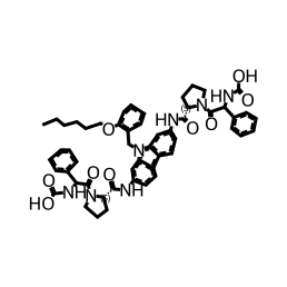 CCCCCCOc1ccccc1Cn1c2cc(NC(=O)[C@@H]3CCCN3C(=O)C(NC(=O)O)c3ccccc3)ccc2c2ccc(NC(=O)[C@@H]3CCCN3C(=O)C(NC(=O)O)c3ccccc3)cc21